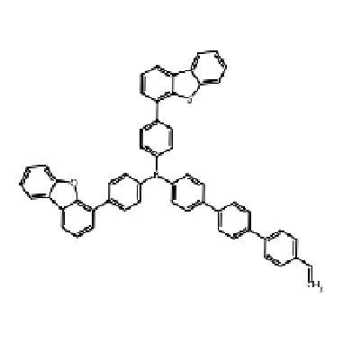 C=Cc1ccc(-c2ccc(-c3ccc(N(c4ccc(-c5cccc6c5oc5ccccc56)cc4)c4ccc(-c5cccc6c5sc5ccccc56)cc4)cc3)cc2)cc1